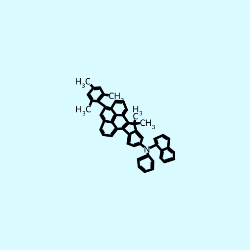 Cc1cc(C)c(-c2cc3cccc4c5c(c6cccc2c6c34)C(C)(C)c2cc(N(c3ccccc3)c3cccc4ccccc34)ccc2-5)c(C)c1